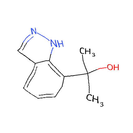 CC(C)(O)c1cccc2cn[nH]c12